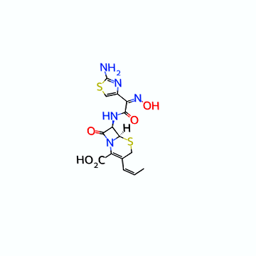 C/C=C\C1=C(C(=O)O)N2C(=O)[C@@H](NC(=O)/C(=N\O)c3csc(N)n3)[C@H]2SC1